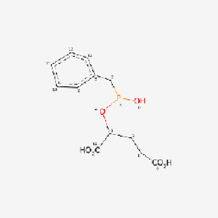 O=C(O)CCC(OP(O)Cc1ccccc1)C(=O)O